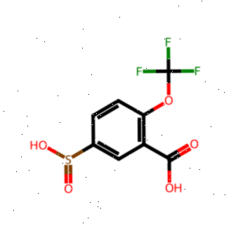 O=C(O)c1cc(S(=O)O)ccc1OC(F)(F)F